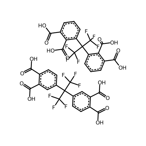 O=C(O)c1ccc(C(c2ccc(C(=O)O)c(C(=O)O)c2)(C(F)(F)F)C(F)(F)F)cc1C(=O)O.O=C(O)c1cccc(C(c2cccc(C(=O)O)c2C(=O)O)(C(F)(F)F)C(F)(F)F)c1C(=O)O